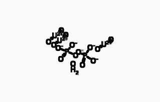 O.O=P([O-])([O-])[O-].O=P([O-])([O-])[O-].[O]=[U+2]=[O].[O]=[U+2]=[O].[O]=[U+2]=[O]